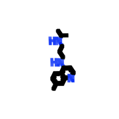 Cc1ccc2c(NCCCNC(C)C)ccnc2c1